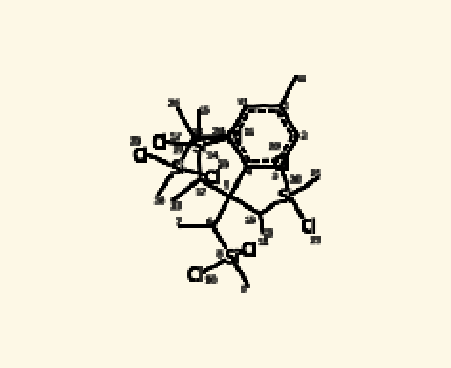 Cc1ccc(C(C(C)[Si](C)(Cl)Cl)(C(C)[Si](C)(Cl)Cl)C(C)[Si](C)(Cl)Cl)c(C(C)[Si](C)(Cl)Cl)c1